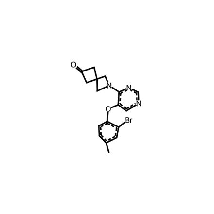 Cc1ccc(Oc2cncnc2N2CC3(CC(=O)C3)C2)c(Br)c1